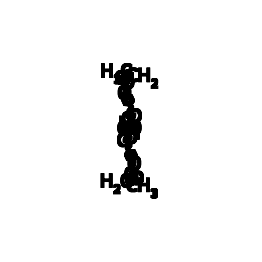 C=C(C)C(=O)OCCOc1ccc(/C=C/C(=O)O[C@H]2CO[C@H]3[C@@H]2OC[C@H]3OC(=O)/C=C/c2ccc(OCCOC(=O)C(=C)C)cc2)cc1